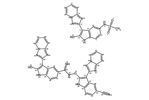 CS(=O)(=O)Nc1ccc2[nH]c(O)c(-c3nc4ccccn4n3)c2c1.N#Cc1ccc2[nH]c(ONC(=N)c3ccc4[nH]c(O)c(-c5nc6ccccn6n5)c4c3)c(-c3nc4ccccn4n3)c2c1